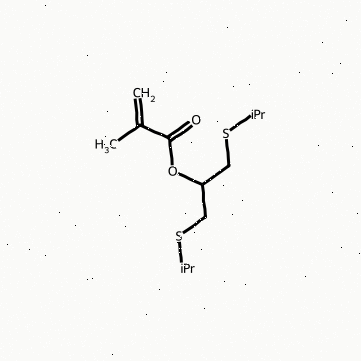 C=C(C)C(=O)OC(CSC(C)C)CSC(C)C